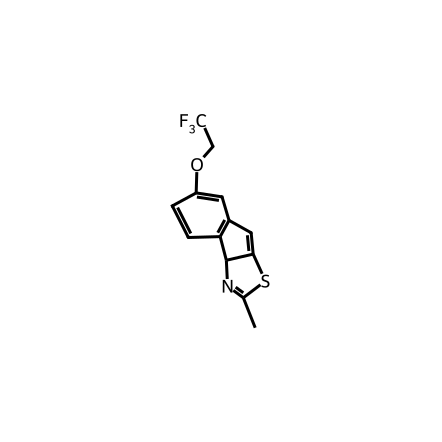 CC1=NC2C(=Cc3cc(OCC(F)(F)F)ccc32)S1